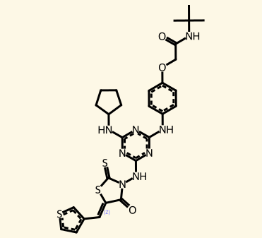 CC(C)(C)NC(=O)COc1ccc(Nc2nc(NC3CCCC3)nc(NN3C(=O)/C(=C/c4ccsc4)SC3=S)n2)cc1